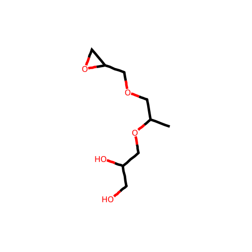 CC(COCC1CO1)OCC(O)CO